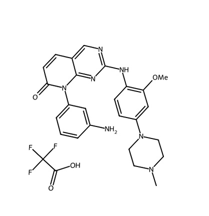 COc1cc(N2CCN(C)CC2)ccc1Nc1ncc2ccc(=O)n(-c3cccc(N)c3)c2n1.O=C(O)C(F)(F)F